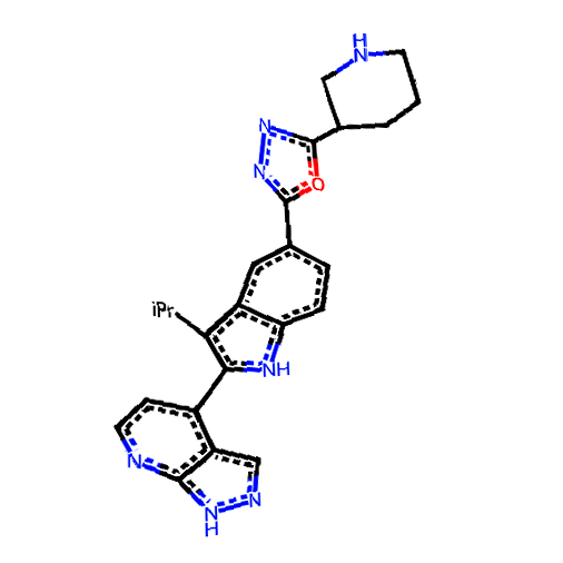 CC(C)c1c(-c2ccnc3[nH]ncc23)[nH]c2ccc(-c3nnc(C4CCCNC4)o3)cc12